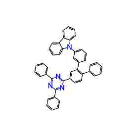 c1ccc(-c2nc(-c3ccccc3)nc(-c3ccc(-c4ccccc4)c(-c4cccc(-n5c6ccccc6c6ccccc65)c4)c3)n2)cc1